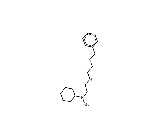 CC(C)(C)N(CCNCCSCc1ccccc1)C1CCCCC1